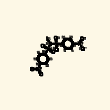 O=[N+]([O-])c1ccc(S(=O)(=O)B(I)S(=O)(=O)c2ccc([N+](=O)[O-])cc2)cc1